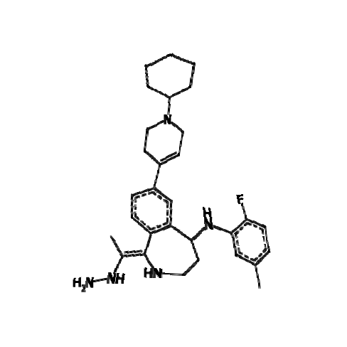 C/C(NN)=C1/NCCC(Nc2cc(C)ccc2F)c2cc(C3=CCN(C4CCCCC4)CC3)ccc21